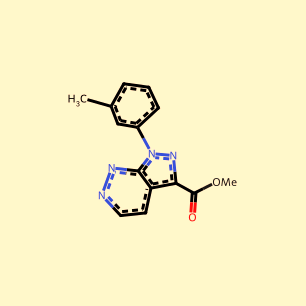 COC(=O)c1nn(-c2cccc(C)c2)c2nnccc12